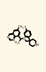 Cc1cc(C(C)OCC2(c3ccc(F)cc3)CCNCC2)c2ncncc2c1